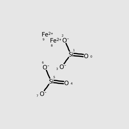 O=[Si]([O-])[O-].O=[Si]([O-])[O-].[Fe+2].[Fe+2]